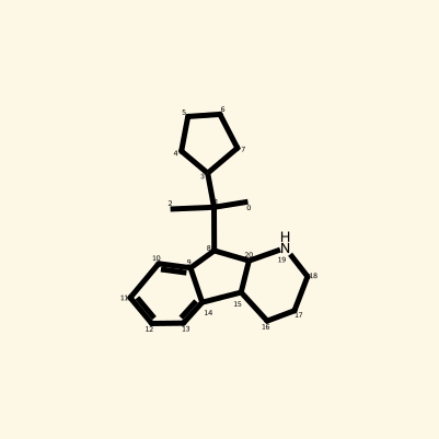 CC(C)(C1CCCC1)C1c2ccccc2C2CCCNC21